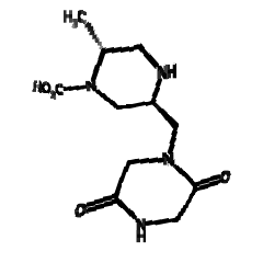 C[C@@H]1CN[C@@H](CN2CC(=O)NCC2=O)CN1C(=O)O